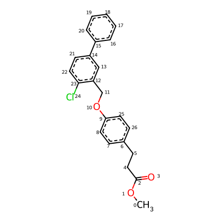 COC(=O)CCc1ccc(OCc2cc(-c3ccccc3)ccc2Cl)cc1